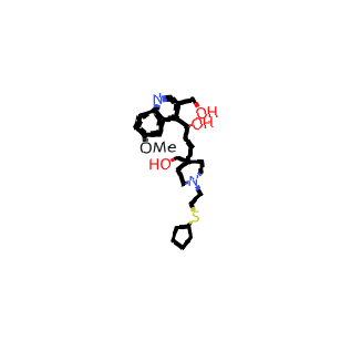 COc1ccc2ncc(CO)c([C@H](O)CCC3(CO)CCN(CCSC4CCCC4)CC3)c2c1